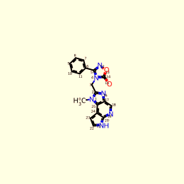 Cn1c(Cn2c(-c3ccccc3)noc2=O)nc2cnc3[nH]ccc3c21